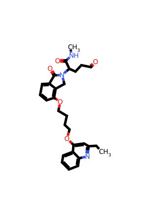 CCc1cc(OCCCCOc2cccc3c2CN(C(CCC=O)C(=O)NC)C3=O)c2ccccc2n1